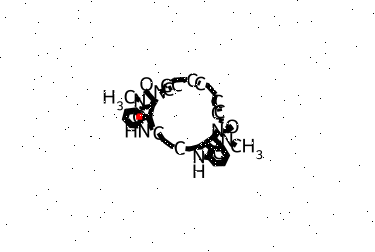 CN1C(=O)C2=C(C1=O)N1CCC(CCCC3CCC(CC3)[N+]3=C(C(=O)N(C)C3=O)c3c([nH]c4ccccc34)CCCCCc3[nH]c4ccccc4c32)CC1